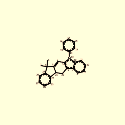 CC1(C)C2=Cc3c(c4ccccc4n3-c3ccccc3)CC2c2ccccc21